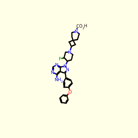 Nc1ncnc2c1c(-c1ccc(Oc3ccccc3)cc1)nn2C1CCN(C2CC3(CCN(C(=O)O)CC3)C2)CC1F